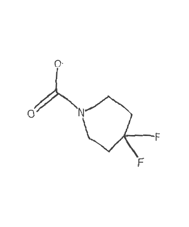 [O]C(=O)N1CCC(F)(F)CC1